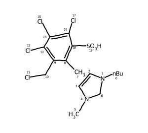 CCCCN1C=CN(C)C1.Cc1c(CCl)c(Cl)c(Cl)c(Cl)c1S(=O)(=O)O